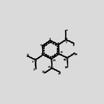 CN(C)c1[c]cc(N(C)C)c(N(C)C)c1N(C)C